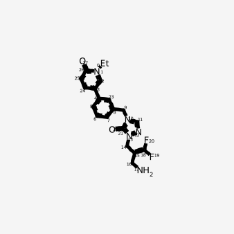 CCn1cc(-c2cccc(Cn3cnn(CC(CN)=C(F)F)c3=O)c2)ccc1=O